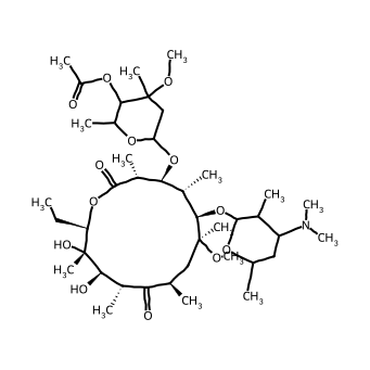 CC[C@H]1OC(=O)[C@H](C)[C@@H](OC2CC(C)(OC)C(OC(C)=O)C(C)O2)[C@H](C)[C@@H](OC2OC(C)CC(N(C)C)C2C)[C@@](C)(OC)C[C@@H](C)C(=O)[C@H](C)[C@@H](O)[C@]1(C)O